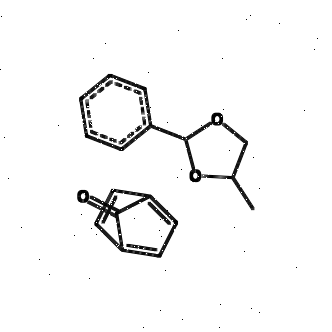 CC1COC(c2ccccc2)O1.O=C1C2=CC=C1C=C2